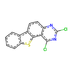 Clc1nc(Cl)c2c(ccc3c4ccccc4sc32)n1